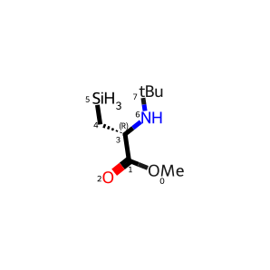 COC(=O)[C@H](C[SiH3])NC(C)(C)C